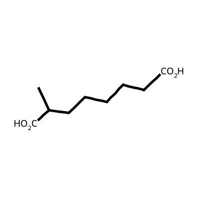 CC(CCCCCC(=O)O)C(=O)O